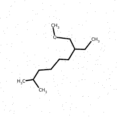 CCC(CCCCC(C)C)COC